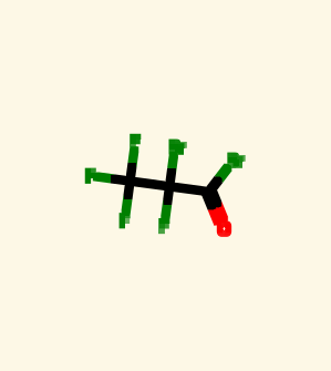 O=C(Br)C(F)(Br)C(F)(F)F